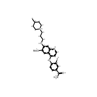 COc1cc2c(Oc3ccc(C(N)=O)cc3F)ccnc2cc1OCCCN1CCC(C)CC1